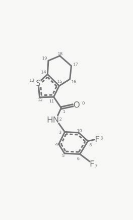 O=C(Nc1ccc(F)c(F)c1)c1csc2c1CCCC2